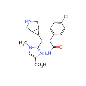 Cn1cc(C(=O)O)nc1C(C(C(N)=O)c1ccc(Cl)cc1)C1C2CNCC21